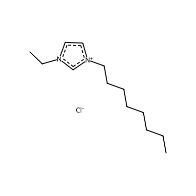 CCCCCCCC[n+]1ccn(CC)c1.[Cl-]